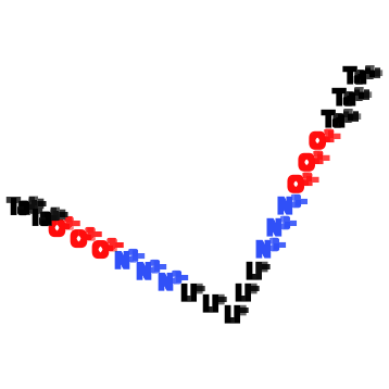 [Li+].[Li+].[Li+].[Li+].[Li+].[N-3].[N-3].[N-3].[N-3].[N-3].[N-3].[O-2].[O-2].[O-2].[O-2].[O-2].[O-2].[Ta+5].[Ta+5].[Ta+5].[Ta+5].[Ta+5]